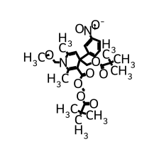 COCN1C(C)=CC(COC(=O)C(C)(C)C)(c2cccc([N+](=O)[O-])c2)C(C(=O)OCOC(=O)C(C)(C)C)=C1C